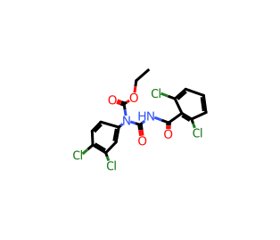 CCOC(=O)N(C(=O)NC(=O)c1c(Cl)cccc1Cl)c1ccc(Cl)c(Cl)c1